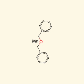 [Mn].c1ccc(COCc2ccccc2)cc1